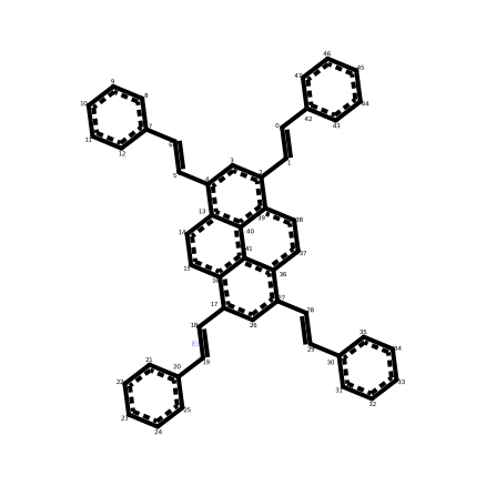 C(=Cc1cc(C=Cc2ccccc2)c2ccc3c(/C=C/c4ccccc4)cc(C=Cc4ccccc4)c4ccc1c2c43)c1ccccc1